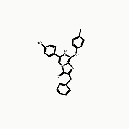 Cc1ccc([Se]c2[nH]c(-c3ccc(O)cc3)cn3c(=O)c(Cc4ccccc4)nc2-3)cc1